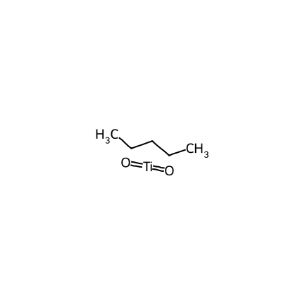 CCCCC.[O]=[Ti]=[O]